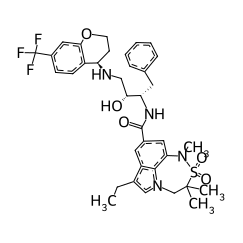 CCc1cn2c3c(cc(C(=O)N[C@@H](Cc4ccccc4)[C@H](O)CN[C@@H]4CCOc5cc(C(F)(F)F)ccc54)cc13)N(C)S(=O)(=O)C(C)(C)C2